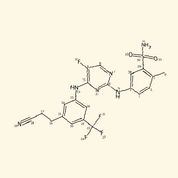 Cc1ccc(Nc2ncc(F)c(Nc3cc(CCC#N)cc(C(F)(F)F)c3)n2)cc1S(N)(=O)=O